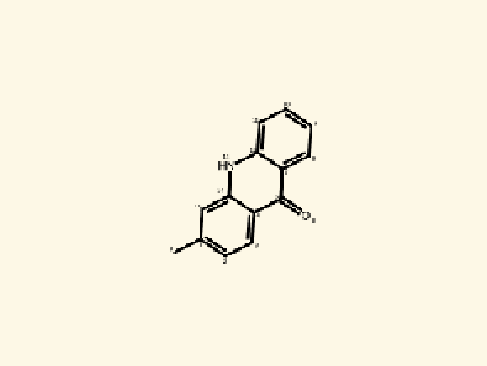 Cc1ccc2c(=O)c3ccccc3[nH]c2c1